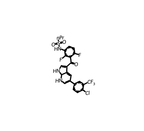 CCCS(=O)(=O)Nc1ccc(F)c(C(=O)C2=CNC3NC=C(c4ccc(Cl)c(C(F)(F)F)c4)C=C23)c1F